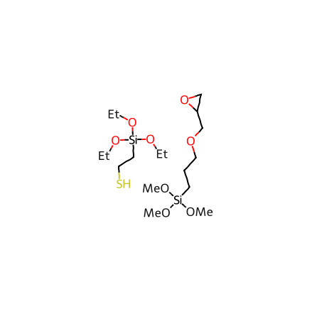 CCO[Si](CCS)(OCC)OCC.CO[Si](CCCOCC1CO1)(OC)OC